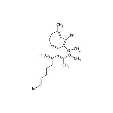 C=C(CCCC=CBr)/C(C1=CCC/C(C)=C/C(Br)=C\1OC)=C(\C)OC